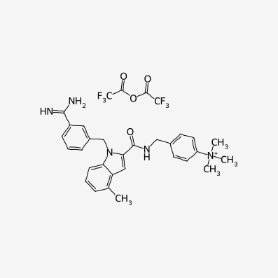 Cc1cccc2c1cc(C(=O)NCc1ccc([N+](C)(C)C)cc1)n2Cc1cccc(C(=N)N)c1.O=C(OC(=O)C(F)(F)F)C(F)(F)F